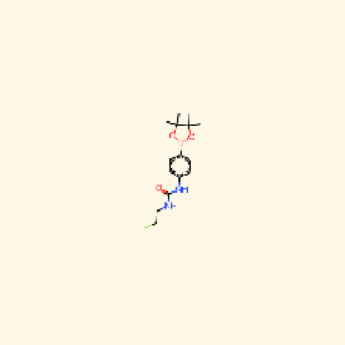 CC1(C)OB(c2ccc(NC(=O)NCCF)cc2)OC1(C)C